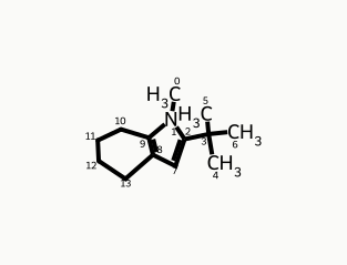 Cn1c(C(C)(C)C)cc2c1CCCC2